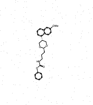 COc1ccc2c(cccc2[C@H]2CO[C@H](CCCNC(=O)Oc3ccccc3)OC2)c1